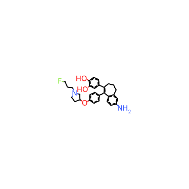 Nc1ccc2c(c1)CCCC(c1ccc(O)c(O)c1)=C2c1ccc(OC2CCN(CCCF)C2)cc1